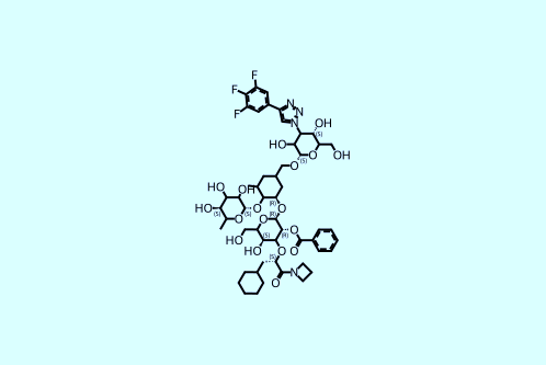 CC1CC(CO[C@H]2OC(CO)[C@@H](O)C(n3cc(-c4cc(F)c(F)c(F)c4)nn3)C2O)C[C@@H](O[C@@H]2OC(CO)[C@H](O)C(O[C@@H](CC3CCCCC3)C(=O)N3CCC3)[C@H]2OC(=O)c2ccccc2)C1O[C@@H]1OC(C)[C@@H](O)C(O)C1O